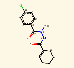 CC(C)(C)N(NC(=O)C1=CCCCC1)C(=O)c1ccc(Cl)cc1